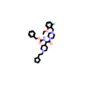 CCOc1cccc(F)c1CN1CCN(C(=O)[C@H](NC(=O)OCc2ccccc2)C2CCN(CCC3CCCC3)CC2)CC1